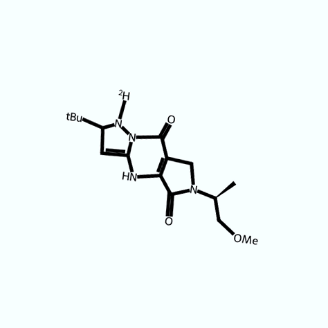 [2H]N1C(C(C)(C)C)C=C2NC3=C(CN([C@@H](C)COC)C3=O)C(=O)N21